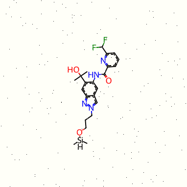 C[SiH](C)OCCCn1cc2cc(NC(=O)c3cccc(C(F)F)n3)c(C(C)(C)O)cc2n1